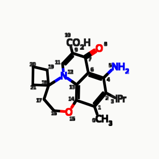 Cc1c(C(C)C)c(N)c2c(=O)c(C(=O)O)cn3c2c1OCCC31CCC1